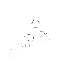 O=C(CC1CCCOC1)Nc1cc(-c2c(-c3ccc(F)cc3)nn3c2OCCC3)ccn1